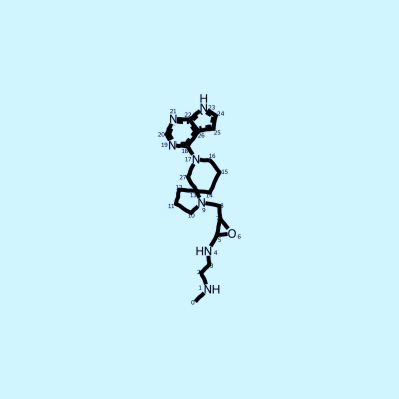 CNCCNC1OC1CN1CCCC12CCCN(c1ncnc3[nH]ccc13)C2